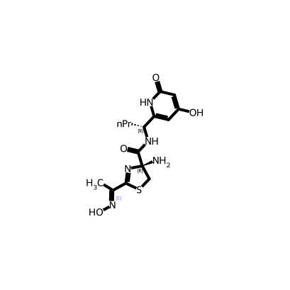 CCC[C@@H](NC(=O)[C@]1(N)CSC(/C(C)=N/O)=N1)c1cc(O)cc(=O)[nH]1